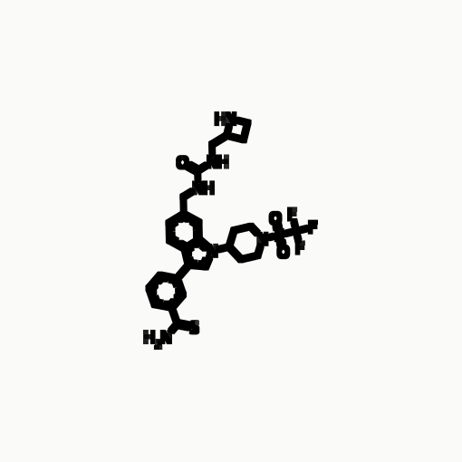 NC(=S)c1cccc(-c2cn(C3CCN(S(=O)(=O)C(F)(F)F)CC3)c3cc(CNC(=O)NCC4CCN4)ccc23)c1